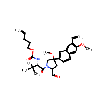 C=CCCCOC(=O)N[C@H](C(=O)N1C[C@](OC)(c2ccc3cc(OC)c(C=C)cc3c2)C[C@H]1C=O)C(C)(C)C